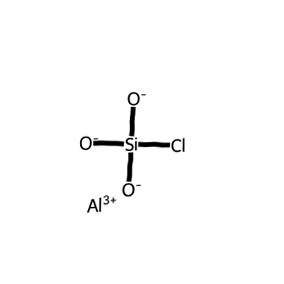 [Al+3].[O-][Si]([O-])([O-])Cl